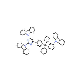 c1ccc([Si](c2ccccc2)(c2ccc(-c3cc(-n4c5ccccc5c5ccccc54)nc(-n4c5ccccc5c5ccccc54)n3)cc2)c2cccc(-n3c4ccccc4c4ccccc43)c2)cc1